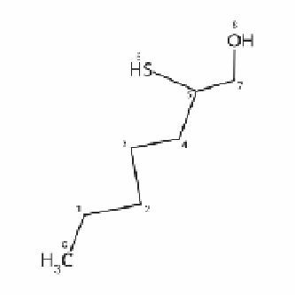 CCCCCC(S)CO